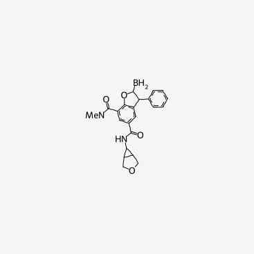 BC1Oc2c(C(=O)NC)cc(C(=O)NC3C4COCC43)cc2C1c1ccccc1